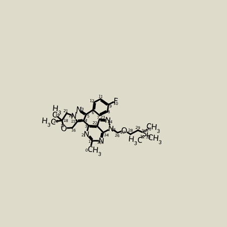 Cc1nc(-c2c(-c3ccc(F)cc3)nn3c2COC(C)(C)C3)c2cnn(COCC[Si](C)(C)C)c2n1